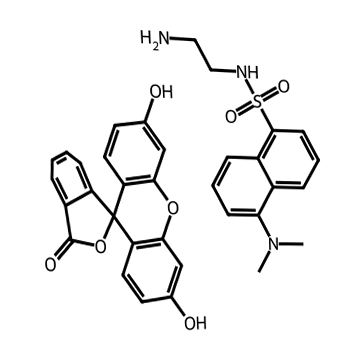 CN(C)c1cccc2c(S(=O)(=O)NCCN)cccc12.O=C1OC2(c3ccc(O)cc3Oc3cc(O)ccc32)c2ccccc21